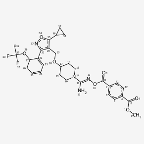 COC(=O)c1ccc(C(=O)O/N=C(\N)N2CCC(OCc3c(C4=CC=CCC4OC(F)(F)F)noc3C3CC3)CC2)cc1